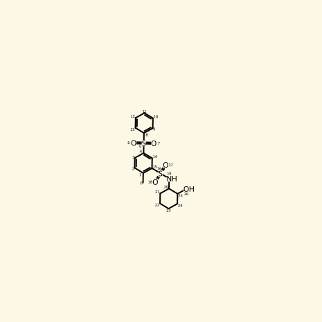 Cc1ccc(S(=O)(=O)c2ccccc2)cc1S(=O)(=O)NC1CCCCC1O